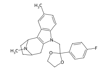 Cc1ccc2c(c1)c1c(n2CC2(c3ccc(F)cc3)OCCO2)CC2CCC1N2C